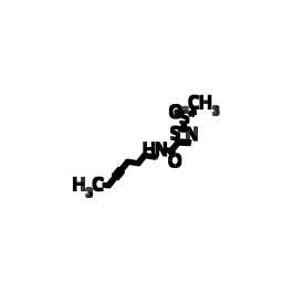 CCC#CCCCCNC(=O)c1cnc([S+]([O-])CC)s1